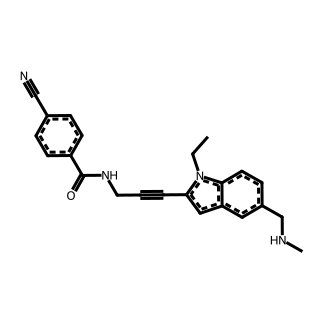 CCn1c(C#CCNC(=O)c2ccc(C#N)cc2)cc2cc(CNC)ccc21